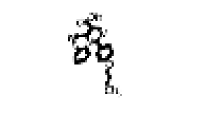 CCCCOc1ccc(C2N=CC(C(=O)O)=C(C#N)N2c2ccccc2F)cc1